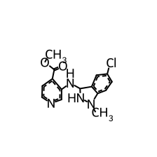 COC(=O)c1ccncc1NC1NN(C)c2ccc(Cl)cc21